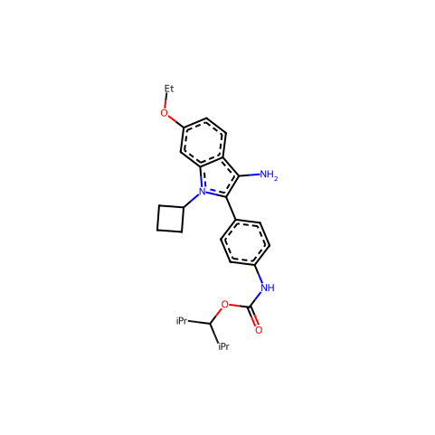 CCOc1ccc2c(N)c(-c3ccc(NC(=O)OC(C(C)C)C(C)C)cc3)n(C3CCC3)c2c1